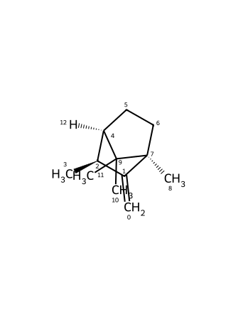 C=C1[C@@H](C)[C@H]2CC[C@]1(C)C2(C)C